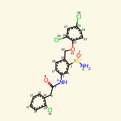 N[S+]([O-])c1cc(NC(=O)Cc2ccccc2Cl)ccc1COc1ccc(Cl)cc1Cl